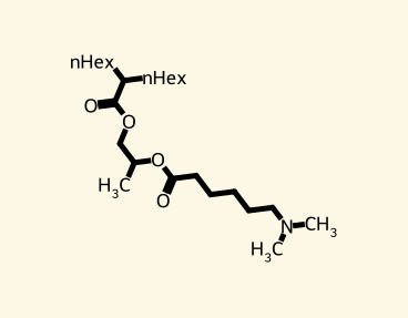 CCCCCCC(CCCCCC)C(=O)OCC(C)OC(=O)CCCCCN(C)C